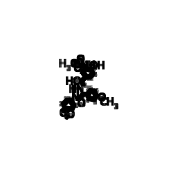 COc1ccc([C@@H](NC[C@@H](O)c2ccc(O)c(NS(C)(=O)=O)c2)C(=O)Nc2ccc3c(c2)OCO3)cc1